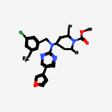 CCC1CC(N(Cc2cc(Cl)cc(C(F)(F)F)c2)c2ncc(-c3ccoc3)cn2)CC(CC)N1C(=O)OC(C)C